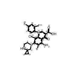 Nc1c(F)c(N2CCNC3(CC3)C2)c(Cl)c2c1c(=O)c(C(=O)O)cn2-c1ccc(F)cc1F